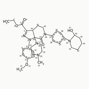 CCOC(=O)C1=NN(c2ccc(OC)cc2)C2(N3CCN(C)CC3)C(=O)N(c3ccc(N4CCCCC4O)cc3)CCC12